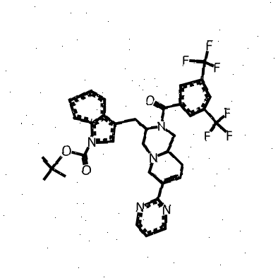 CC(C)(C)OC(=O)n1cc(CC2CN3CC(c4ncccn4)=CCC3CN2C(=O)c2cc(C(F)(F)F)cc(C(F)(F)F)c2)c2ccccc21